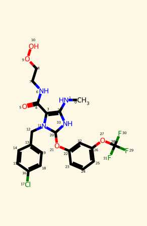 CNC1=C(C(=O)NCCOO)N(Cc2ccc(Cl)cc2)C(Oc2cccc(OC(F)(F)F)c2)N1